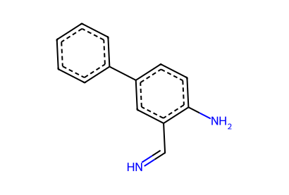 N=Cc1cc(-c2ccccc2)ccc1N